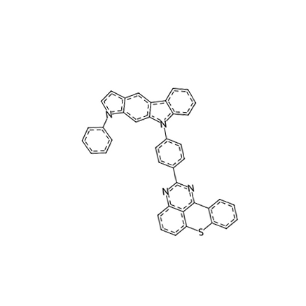 c1ccc(-n2ccc3cc4c5ccccc5n(-c5ccc(-c6nc7c8c(cccc8n6)Sc6ccccc6-7)cc5)c4cc32)cc1